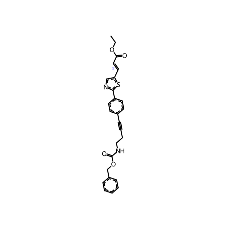 CCOC(=O)/C=C/c1cnc(-c2ccc(C#CCCNC(=O)OCc3ccccc3)cc2)s1